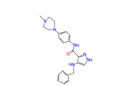 CN1CCN(c2ccc(NC(=O)c3n[nH]cc3NCc3ccccc3)cc2)CC1